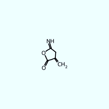 C=C1CC(=N)OC1=O